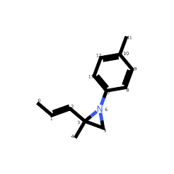 CC=CC1(C)CN1c1ccc(C)cc1